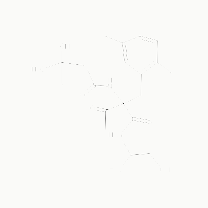 CCC(C)OC(=O)C(Cc1cc(I)ccc1Cl)(NC(=O)OC(C)(C)C)C(=O)O